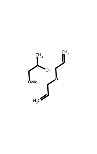 C=CCOCC=C.COCC(C)O